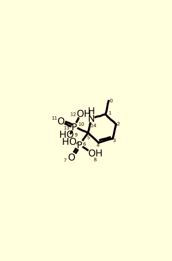 CC1CC=CC(P(=O)(O)O)(P(=O)(O)O)N1